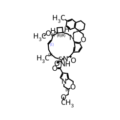 COC[C@H]1Cn2cc(C(=O)N[S@@]3(=O)=NC(=O)c4ccc5c(c4)N(C[C@@H]4CC[C@H]4[C@@H](OC)/C=C/C[C@H](C)C3)C[C@@]3(CCCc4cc(C)ccc43)CO5)cc2CO1